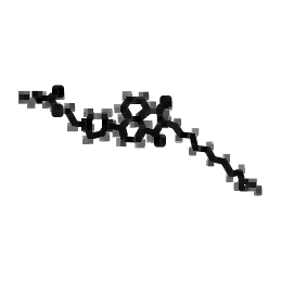 CCCCCCCCCCN1C(=O)c2cccc3c(N4CCN(CCOC(N)=O)CC4)ccc(c23)C1=O